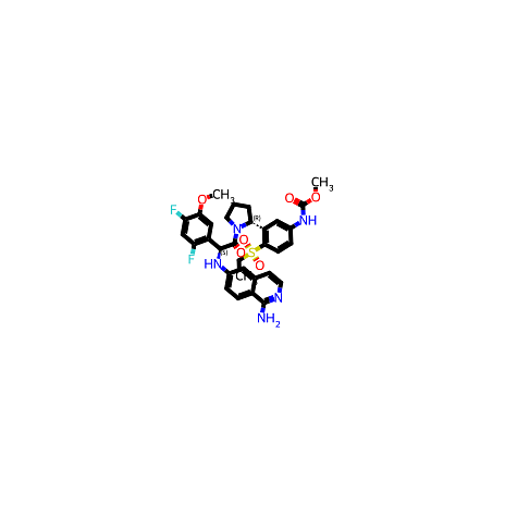 CCS(=O)(=O)c1ccc(NC(=O)OC)cc1[C@H]1CCCN1C(=O)[C@@H](Nc1ccc2c(N)nccc2c1)c1cc(OC)c(F)cc1F